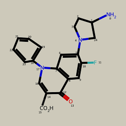 NC1CCN(c2cc3c(cc2F)c(=O)c(C(=O)O)cn3-c2ccccc2)C1